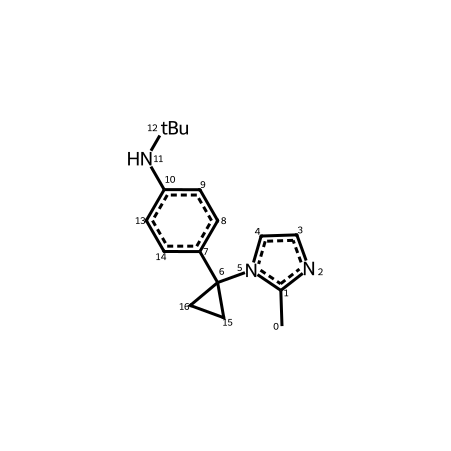 Cc1nccn1C1(c2ccc(NC(C)(C)C)cc2)CC1